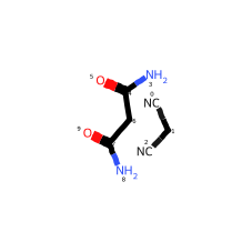 N#CCC#N.NC(=O)CC(N)=O